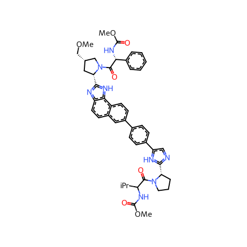 COC[C@H]1C[C@@H](c2nc3ccc4cc(-c5ccc(-c6cnc([C@@H]7CCCN7C(=O)C(NC(=O)OC)C(C)C)[nH]6)cc5)ccc4c3[nH]2)N(C(=O)[C@H](NC(=O)OC)c2ccccc2)C1